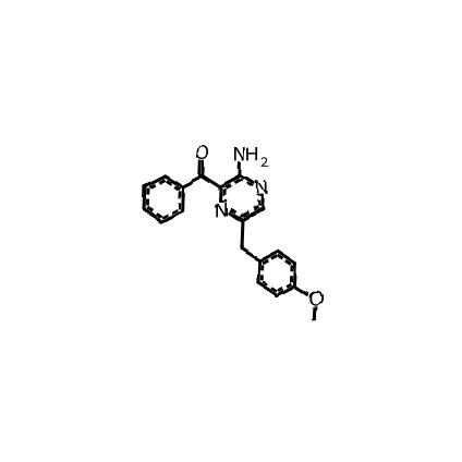 COc1ccc(Cc2cnc(N)c(C(=O)c3ccccc3)n2)cc1